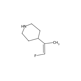 C/C(=C/F)C1CCNCC1